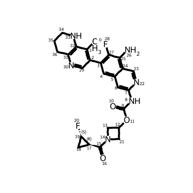 Cc1c(-c2cc3cc(NC(=O)OC4CN(C(=O)[C@H]5C[C@@H]5F)C4)ncc3c(N)c2F)cnc2c1NCCC2